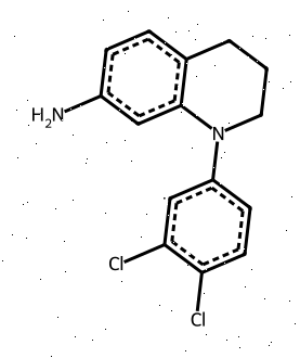 Nc1ccc2c(c1)N(c1[c]c(Cl)c(Cl)cc1)CCC2